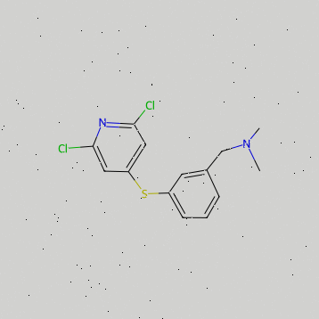 CN(C)Cc1cccc(Sc2cc(Cl)nc(Cl)c2)c1